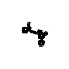 O=c1cc(-c2ccncc2)nc2n(CCCc3c[nH]c4ccccc34)ccn12